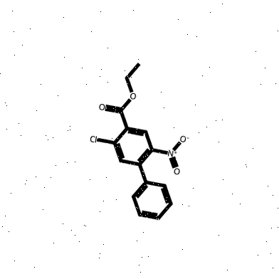 CCOC(=O)c1cc([N+](=O)[O-])c(-c2ccccc2)cc1Cl